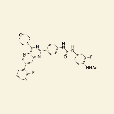 CC(=O)Nc1ccc(NC(=O)Nc2ccc(-c3nc(N4CCOCC4)c4ncc(-c5cccnc5F)cc4n3)cc2)cc1F